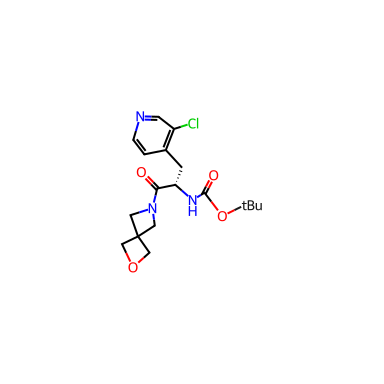 CC(C)(C)OC(=O)N[C@@H](Cc1ccncc1Cl)C(=O)N1CC2(COC2)C1